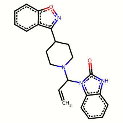 C=CC(N1CCC(c2noc3ccccc23)CC1)n1c(=O)[nH]c2ccccc21